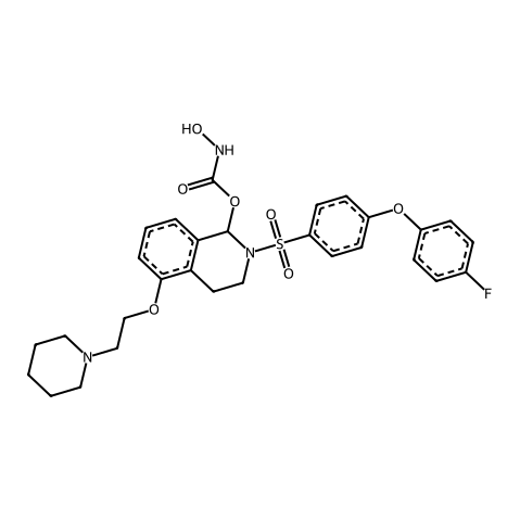 O=C(NO)OC1c2cccc(OCCN3CCCCC3)c2CCN1S(=O)(=O)c1ccc(Oc2ccc(F)cc2)cc1